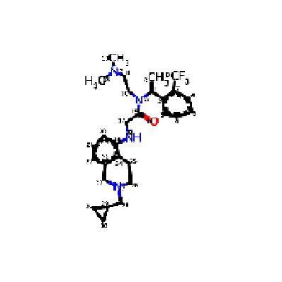 CC(c1ccccc1C(F)(F)F)N(CCN(C)C)C(=O)CNc1cccc2c1CCN(CC1CC1)C2